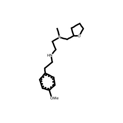 COc1ccc(CCNCCN(C)CC2CCCO2)cc1